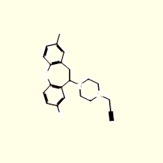 C#CCN1CCN(C2Cc3cc(C)ccc3Sc3ccc(F)cc32)CC1